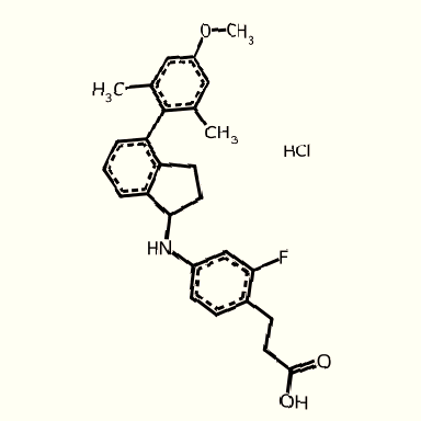 COc1cc(C)c(-c2cccc3c2CCC3Nc2ccc(CCC(=O)O)c(F)c2)c(C)c1.Cl